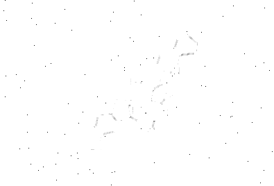 COc1ccc2c(c1)C(=O)N(C[C@@]1(/C(=C/c3ccc4ccccc4n3)CI)NC(=O)NC1=O)C2